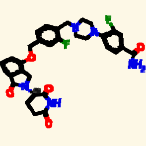 NC(=O)c1ccc(N2CCN(Cc3ccc(COc4cccc5c4CN([C@H]4CCC(=O)NC4=O)C5=O)cc3F)CC2)c(F)c1